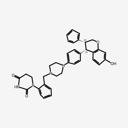 O=C1CCN(c2ccccc2CN2CCN(c3ccc([C@H]4c5ccc(O)cc5OC[C@H]4c4ccccc4)cc3)CC2)C(=O)N1